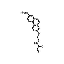 C=CC(=O)NCCOc1ccc2c(ccc3cc(CCCCC)ccc32)c1